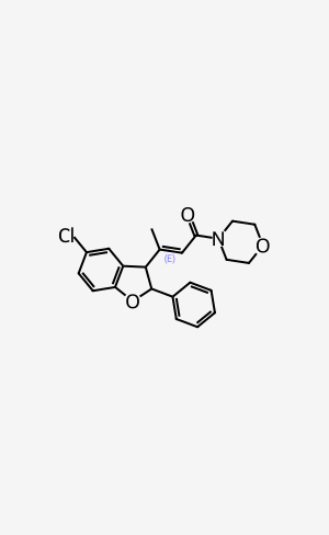 C/C(=C\C(=O)N1CCOCC1)C1c2cc(Cl)ccc2OC1c1ccccc1